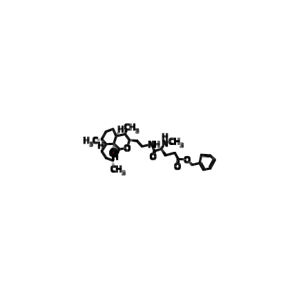 CN[C@@H](CCC(=O)OCc1ccccc1)C(=O)NCC[C@H]1O[C@@H]2O[C@]3(C)CC[C@H]4[C@H](C)CC[C@@H]([C@H]1C)[C@@]24OO3